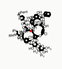 CCCCCOc1ccc(NC(=O)NC(=O)C[C@@H]2NC(=O)[C@H](NC(=O)[C@@H](CC(C)C)NC)[C@H](O)c3ccc(c(C)c3)Oc3cc4cc(c3O[C@@H]3O[C@H](CO)[C@@H](O)[C@H](O)[C@H]3O[C@H]3C[C@](C)(N)[C@H](O)[C@H](C)O3)Oc3ccc(cc3Cl)[C@@H](O)[C@@H]3NC(=O)[C@H](NC(=O)[C@@H]4NC2=O)c2ccc(O)c(c2)-c2c(C)cc(O)cc2[C@@H](C(=O)NC2C4CC5CC(C4)CC2C5)NC3=O)cn1